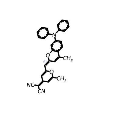 CC1=CC(=C(C#N)C#N)C=C(/C=C2\C=C(C)c3ccc(N(c4ccccc4)c4ccccc4)cc3O2)O1